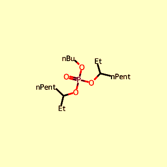 CCCCCC(CC)OP(=O)(OCCCC)OC(CC)CCCCC